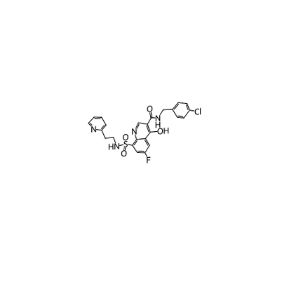 O=C(NCc1ccc(Cl)cc1)c1cnc2c(S(=O)(=O)NCCc3ccccn3)cc(F)cc2c1O